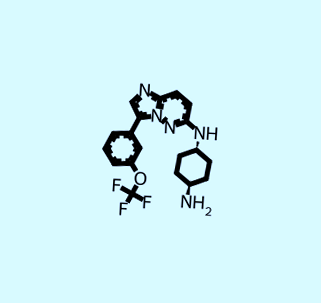 N[C@H]1CC[C@H](Nc2ccc3ncc(-c4cccc(OC(F)(F)F)c4)n3n2)CC1